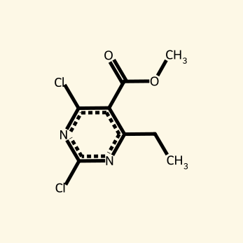 CCc1nc(Cl)nc(Cl)c1C(=O)OC